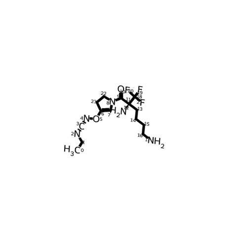 CCN=C=NOC1=CN(C(=O)[C@@](N)(CCCCN)C(F)(F)F)CC1